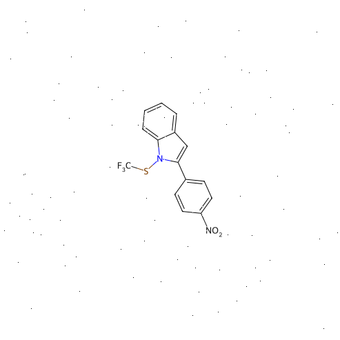 O=[N+]([O-])c1ccc(-c2cc3ccccc3n2SC(F)(F)F)cc1